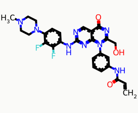 C=CC(=O)Nc1cccc(-n2c(CO)nc(=O)c3cnc(Nc4ccc(N5CCN(C)CC5)c(F)c4F)nc32)c1